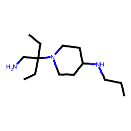 CCCNC1CCN(C(CC)(CC)CN)CC1